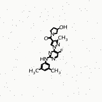 Cc1cc(C)cc(Nc2ncc(F)c(-n3cc(C(=O)N4CCC(O)C4)c(C)n3)n2)c1